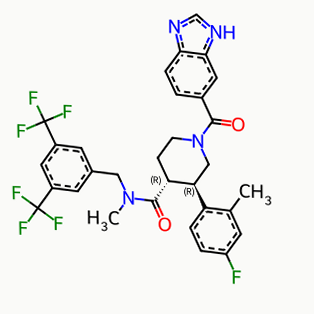 Cc1cc(F)ccc1[C@@H]1CN(C(=O)c2ccc3nc[nH]c3c2)CC[C@H]1C(=O)N(C)Cc1cc(C(F)(F)F)cc(C(F)(F)F)c1